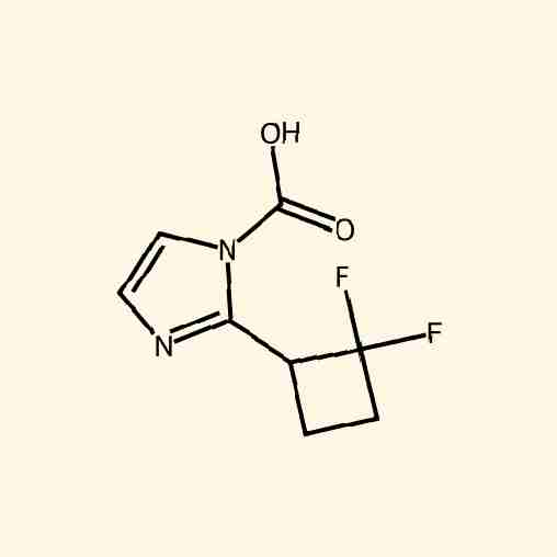 O=C(O)n1ccnc1C1CCC1(F)F